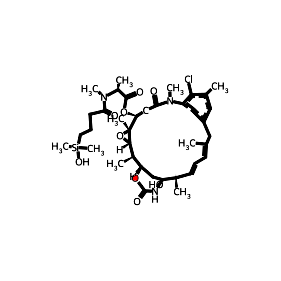 C/C1=C\C=C\[C@@H](C)[C@@]2(O)C[C@H](OC(=O)N2)[C@@H](C)[C@@H]2O[C@]2(C)[C@@H](OC(=O)[C@H](C)N(C)C(=O)CCC[Si](C)(C)O)CC(=O)N(C)c2cc(cc(C)c2Cl)C1